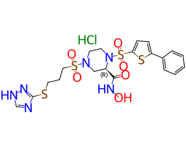 Cl.O=C(NO)[C@H]1CN(S(=O)(=O)CCCSc2nc[nH]n2)CCN1S(=O)(=O)c1ccc(-c2ccccc2)s1